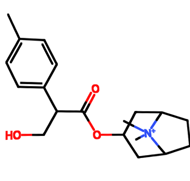 Cc1ccc(C(CO)C(=O)OC2CC3CCC(C2)[N+]3(C)C)cc1